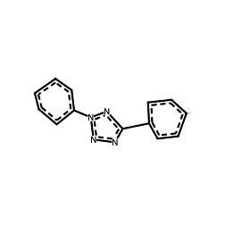 [c]1ccc(-c2nnn(-c3ccccc3)n2)cc1